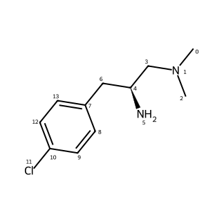 CN(C)C[C@@H](N)Cc1ccc(Cl)cc1